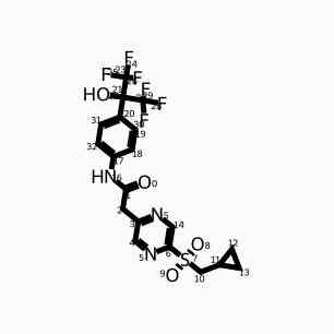 O=C(Cc1cnc(S(=O)(=O)CC2CC2)cn1)Nc1ccc(C(O)(C(F)(F)F)C(F)(F)F)cc1